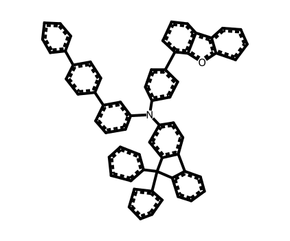 c1ccc(-c2ccc(-c3cccc(N(c4ccc(-c5cccc6c5oc5ccccc56)cc4)c4ccc5c(c4)C(c4ccccc4)(c4ccccc4)c4ccccc4-5)c3)cc2)cc1